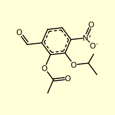 CC(=O)Oc1c(C=O)ccc([N+](=O)[O-])c1OC(C)C